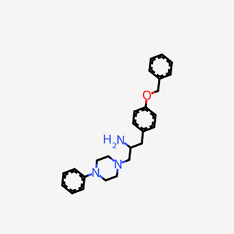 NC(Cc1ccc(OCc2ccccc2)cc1)CN1CCN(c2ccccc2)CC1